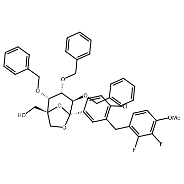 COc1ccc(Cc2cc([C@]34OC[C@@](CO)(O3)[C@H](OCc3ccccc3)[C@H](OCc3ccccc3)[C@H]4OCc3ccccc3)ccc2Cl)c(F)c1F